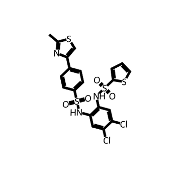 Cc1nc(-c2ccc(S(=O)(=O)Nc3cc(Cl)c(Cl)cc3NS(=O)(=O)c3cccs3)cc2)cs1